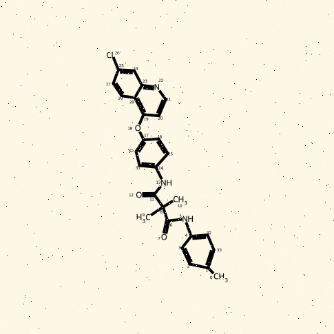 Cc1ccc(NC(=O)C(C)(C)C(=O)Nc2ccc(Oc3ccnc4cc(Cl)ccc34)cc2)cc1